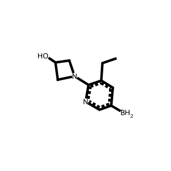 Bc1cnc(N2CC(O)C2)c(CC)c1